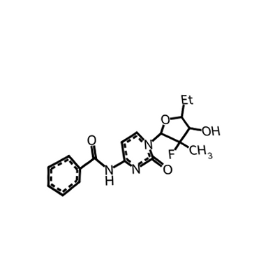 CCC1OC(n2ccc(NC(=O)c3ccccc3)nc2=O)C(C)(F)C1O